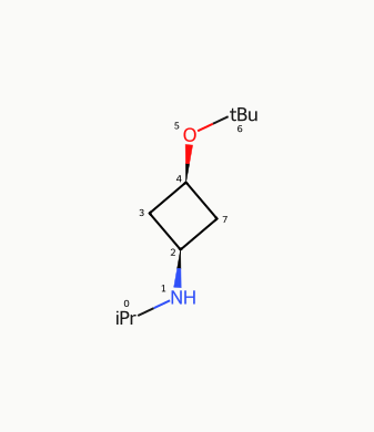 CC(C)N[C@H]1C[C@@H](OC(C)(C)C)C1